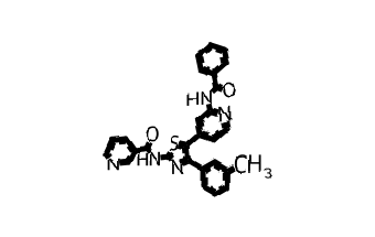 Cc1cccc(-c2nc(NC(=O)c3cccnc3)sc2-c2ccnc(NC(=O)c3ccccc3)c2)c1